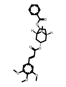 COc1cc(C=CC(=O)O[C@H]2C[C@H]3C[C@H](OC(=O)c4ccccc4)[C@@H](C2)N3C)cc(OC)c1OC